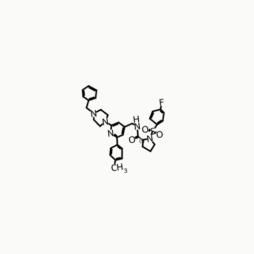 Cc1ccc(-c2cc(CNC(=O)[C@@H]3CCCN3S(=O)(=O)c3ccc(F)cc3)cc(N3CCN(Cc4ccccc4)CC3)n2)cc1